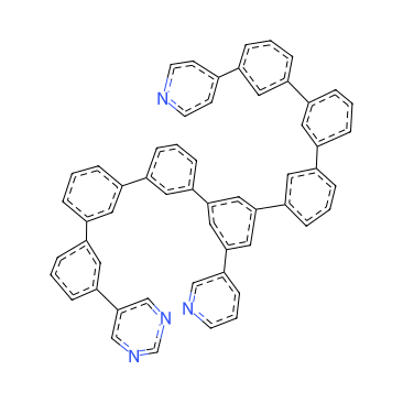 c1cncc(-c2cc(-c3cccc(-c4cccc(-c5cccc(-c6ccncc6)c5)c4)c3)cc(-c3cccc(-c4cccc(-c5cccc(-c6cncnc6)c5)c4)c3)c2)c1